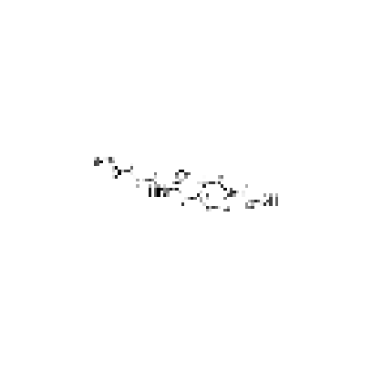 CC(C)OCCCNC(=O)CN1CCN(CCS)CC1